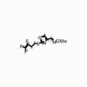 CO/N=C/c1csc(SCCC(F)=C(F)F)n1